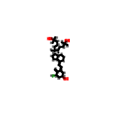 C=C1/C(=C\C=C2CCC[C@@]3(C)C2CC[C@@H]3C(C)(CCCC(C)(C)O)CCCC(C)(C)O)C[C@@H](O)C[C@H]1F